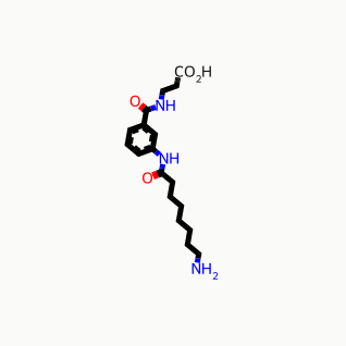 NCCCCCCCC(=O)Nc1cccc(C(=O)NCCC(=O)O)c1